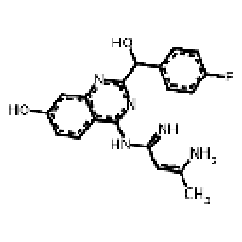 C/C(N)=C/C(=N)Nc1nc(C(O)c2ccc(F)cc2)nc2cc(O)ccc12